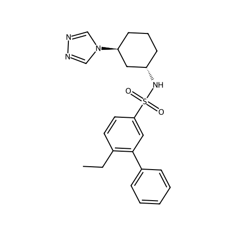 CCc1ccc(S(=O)(=O)N[C@H]2CCC[C@H](n3cnnc3)C2)cc1-c1ccccc1